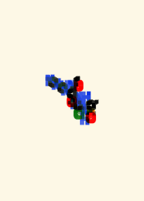 C=CC(=O)Nc1cc(Nc2ncc(Cl)c(Nc3ccc(C)cc3P(C)(C)=O)n2)c(OC)cc1N1CCC(N2CCN(C)CC2)CC1